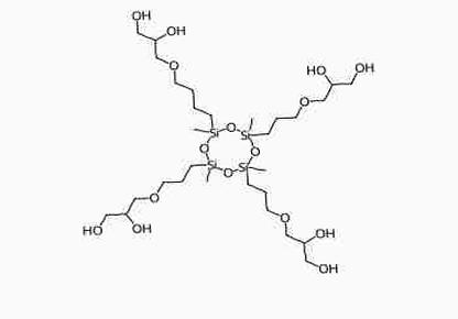 C[Si]1(CCCCOCC(O)CO)O[Si](C)(CCCOCC(O)CO)O[Si](C)(CCCOCC(O)CO)O[Si](C)(CCCOCC(O)CO)O1